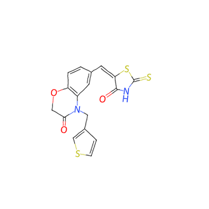 O=C1NC(=S)SC1=Cc1ccc2c(c1)N(Cc1ccsc1)C(=O)CO2